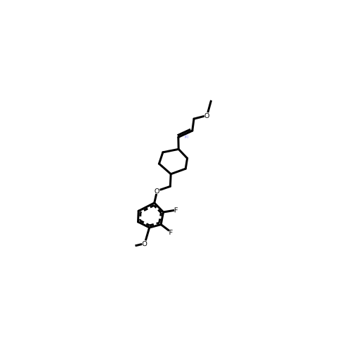 COC/C=C/C1CCC(COc2ccc(OC)c(F)c2F)CC1